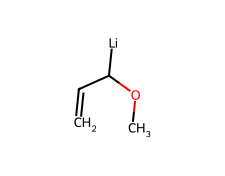 [Li][CH](C=C)OC